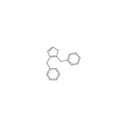 C1=CC(Cc2ccccc2)=C(Cc2ccccc2)C1